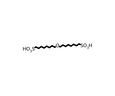 O=S(=O)(O)CCCCCCCCOCCCCCCCCS(=O)(=O)O